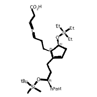 CCCCC[C@H](CCC1=CC[C@H](O[Si](CC)(CC)CC)[C@@H]1CCC=C=CCC(=O)O)O[Si](C)(C)C(C)(C)C